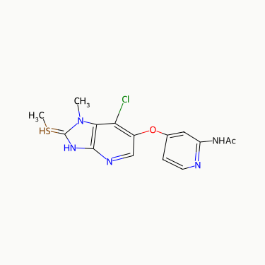 C[SH]=c1[nH]c2ncc(Oc3ccnc(NC(C)=O)c3)c(Cl)c2n1C